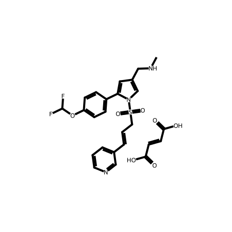 CNCc1cc(-c2ccc(OC(F)F)cc2)n(S(=O)(=O)CC=Cc2cccnc2)c1.O=C(O)/C=C/C(=O)O